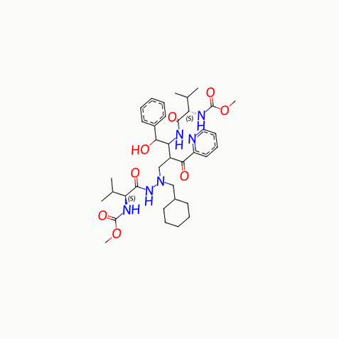 COC(=O)N[C@H](C(=O)NC(C(CN(CC1CCCCC1)NC(=O)[C@@H](NC(=O)OC)C(C)C)C(=O)c1ccccn1)C(O)c1ccccc1)C(C)C